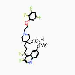 COc1ccc2ncc(F)c([C@H](F)CCC3(CC(=O)O)CCN(CCOc4cc(F)cc(F)c4F)CC3)c2c1